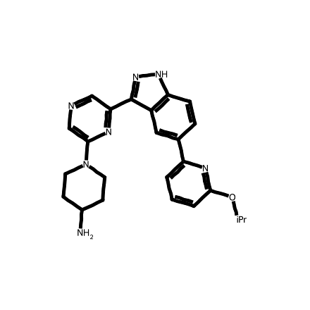 CC(C)Oc1cccc(-c2ccc3[nH]nc(-c4cncc(N5CCC(N)CC5)n4)c3c2)n1